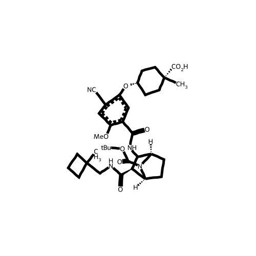 COc1cc(C#N)c(O[C@H]2CC[C@@](C)(C(=O)O)CC2)cc1C(=O)NC1[C@H]2CC[C@@H]([C@H]1C(=O)NCC1(C)CCC1)N2C(=O)OC(C)(C)C